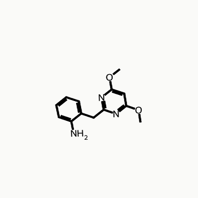 COc1cc(OC)nc(Cc2ccccc2N)n1